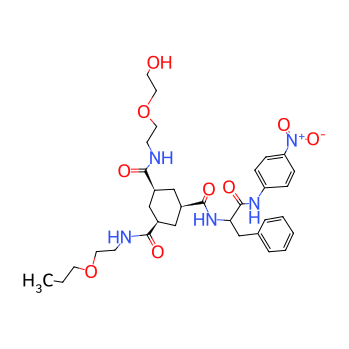 CCCOCCNC(=O)[C@H]1C[C@@H](C(=O)NCCOCCO)C[C@@H](C(=O)NC(Cc2ccccc2)C(=O)Nc2ccc([N+](=O)[O-])cc2)C1